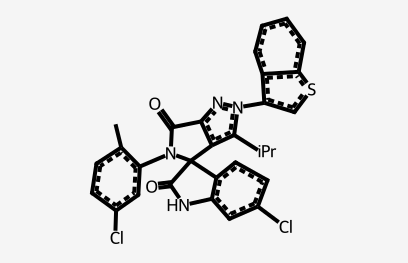 Cc1ccc(Cl)cc1N1C(=O)c2nn(-c3csc4ccccc34)c(C(C)C)c2C12C(=O)Nc1cc(Cl)ccc12